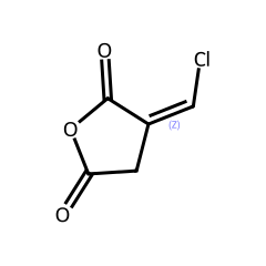 O=C1C/C(=C/Cl)C(=O)O1